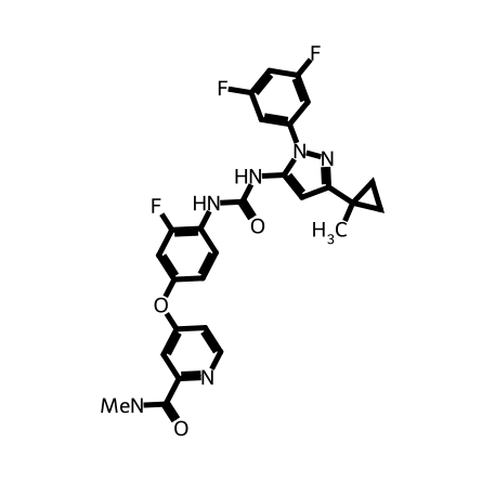 CNC(=O)c1cc(Oc2ccc(NC(=O)Nc3cc(C4(C)CC4)nn3-c3cc(F)cc(F)c3)c(F)c2)ccn1